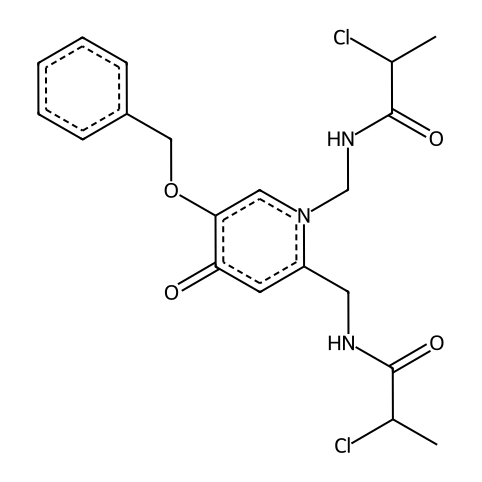 CC(Cl)C(=O)NCc1cc(=O)c(OCc2ccccc2)cn1CNC(=O)C(C)Cl